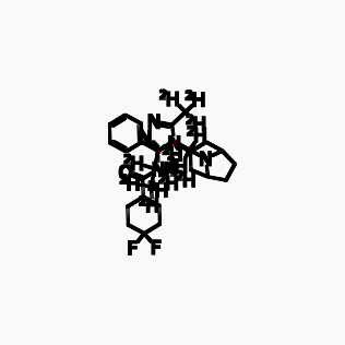 [2H]C([2H])([2H])c1nnc(C([2H])(C([2H])([2H])[2H])C([2H])([2H])[2H])n1C1CC2CCC(C1)N2C([2H])([2H])CC(NC(=O)C1CCC(F)(F)CC1)c1ccccc1